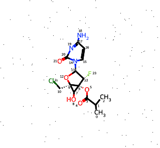 CC(C)C(=O)O[C@]12C(O)[C@@]1(CCl)O[C@@H](n1ccc(N)nc1=O)[C@@H]2F